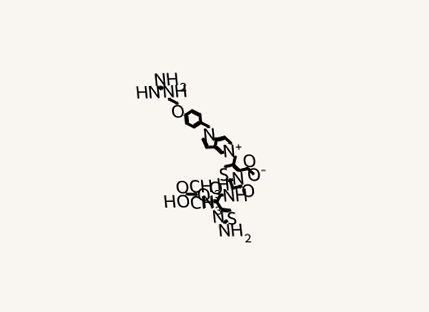 CC(C)(O/N=C(\C(=O)N[C@H]1C(=O)N2C(C(=O)[O-])=C(C[n+]3ccc4c(ccn4Cc4ccc(OCCNC(=N)N)cc4)c3)CS[C@H]12)c1csc(N)n1)C(=O)O